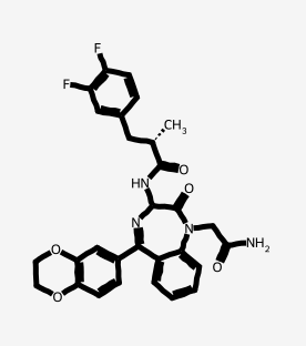 C[C@@H](Cc1ccc(F)c(F)c1)C(=O)NC1N=C(c2ccc3c(c2)OCCO3)c2ccccc2N(CC(N)=O)C1=O